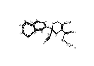 COC(=O)C1=C(O)CCC(C#N)(c2ccc3ccccc3c2)C1